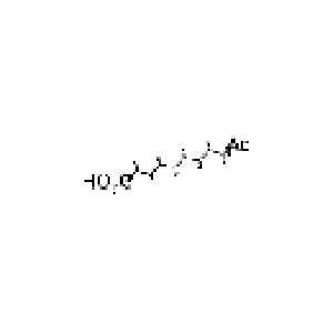 CC(=O)[CH]CCCCCCCC(=O)O